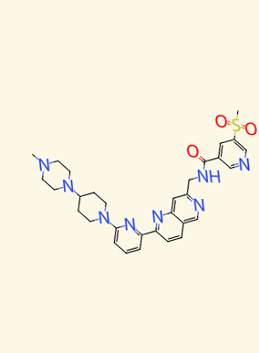 CN1CCN(C2CCN(c3cccc(-c4ccc5cnc(CNC(=O)c6cncc(S(C)(=O)=O)c6)cc5n4)n3)CC2)CC1